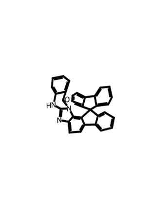 O=c1c2ccccc2[nH]c2nc3ccc4c(c3n12)C1(c2ccccc2-c2ccccc21)c1ccccc1-4